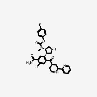 CN(C(=O)Oc1ccc(F)cc1)[C@@H]1CNC[C@H]1c1cc(C(N)=O)c(Cl)cc1C(=O)C1CCNC(c2ccccn2)C1